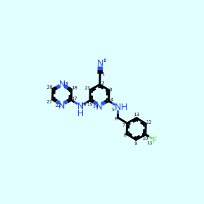 N#Cc1cc(NCc2ccc(F)cc2)nc(Nc2cnccn2)c1